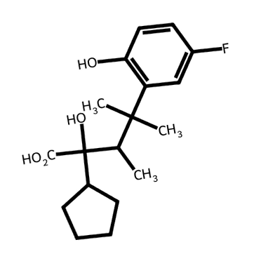 CC(C(C)(C)c1cc(F)ccc1O)C(O)(C(=O)O)C1CCCC1